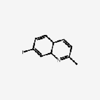 CC1=NC2C=C(I)C=CC2C=C1